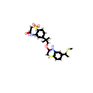 CSC(C)c1ccc2c(c1)NC(OCC(C)(C)c1ccc3c(c1)NC(=O)CS3(=O)=O)CS2